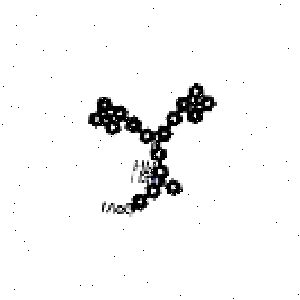 COc1ccc(-c2ccc(N(C3=CC=C(c4ccc(-n5c6ccc(-c7ccc(-c8ccc9c(c8)C8(c%10ccccc%10-c%10ccccc%108)c8ccccc8-9)cc7)cc6c6cc(-c7ccc(-c8ccc9c(c8)C8(c%10ccccc%10-c%10ccccc%108)c8ccccc8-9)cc7)ccc65)cc4)C(=N)/C3=N\S)c3ccccc3)cc2)cc1